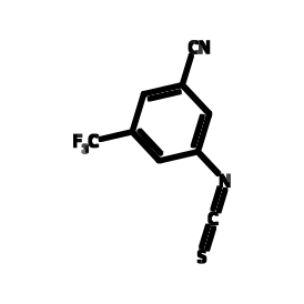 N#Cc1cc(N=C=S)cc(C(F)(F)F)c1